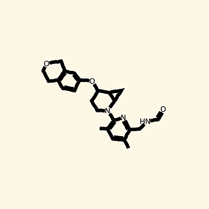 Cc1cc(C)c(N2CCC(Oc3ccc4c(c3)COCC4)C3CC32)nc1CNC=O